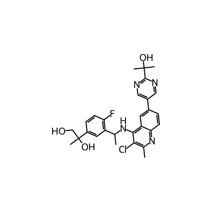 Cc1nc2ccc(-c3cnc(C(C)(C)O)nc3)cc2c(NC(C)c2cc(C(C)(O)CO)ccc2F)c1Cl